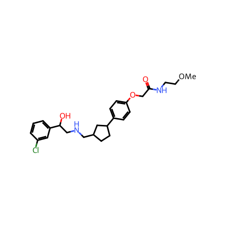 COCCNC(=O)COc1ccc(C2CCC(CNCC(O)c3cccc(Cl)c3)C2)cc1